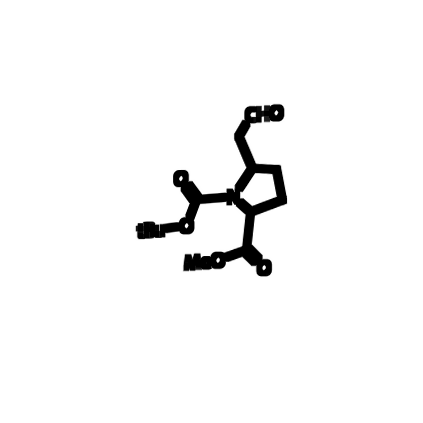 COC(=O)C1CCC(CC=O)N1C(=O)OC(C)(C)C